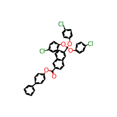 O=C(Oc1ccc(-c2ccccc2)cc1)c1ccc2cc(C(Oc3ccc(Cl)cc3)(Oc3ccc(Cl)cc3)Oc3ccc(Cl)cc3)ccc2c1